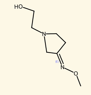 CO/N=C1\CCN(CCO)C1